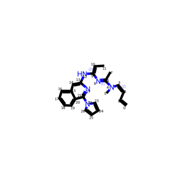 C=C/C=C\N(C)/C(C)=N/C(=C\C)Nc1cc2ccccc2c(-n2cccc2)n1